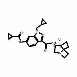 O=C(N[C@@H]1CN2CCC23CC[C@H]13)c1nn(CC2CC2)c2cc(NC(=O)C3CC3)ccc12